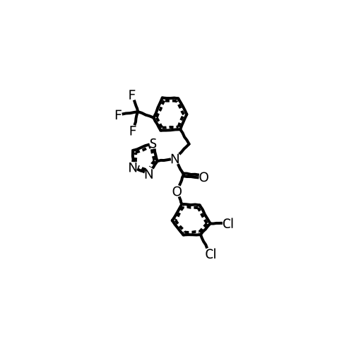 O=C(Oc1ccc(Cl)c(Cl)c1)N(Cc1cccc(C(F)(F)F)c1)c1nncs1